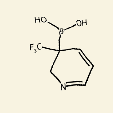 OB(O)C1(C(F)(F)F)C=CC=NC1